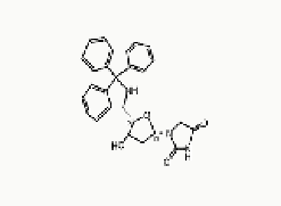 O=C1CN([C@@H]2CC(O)[C@H](CNC(c3ccccc3)(c3ccccc3)c3ccccc3)O2)C(=O)N1